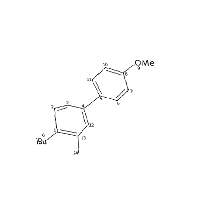 CCC(C)c1ccc(-c2ccc(OC)cc2)cc1C